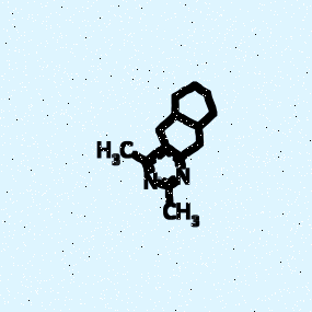 Cc1nc(C)c2c(n1)CC1CCCCC1C2